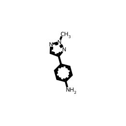 Cn1ncc(-c2ccc(N)cc2)n1